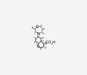 C[C@@H]1CN(c2ccc3nccc(C(=O)O)c3c2)CCCO1